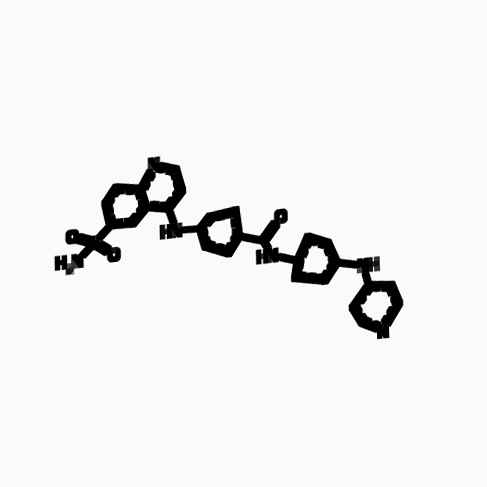 NS(=O)(=O)c1ccc2nccc(Nc3ccc(C(=O)Nc4ccc(Nc5ccncc5)cc4)cc3)c2c1